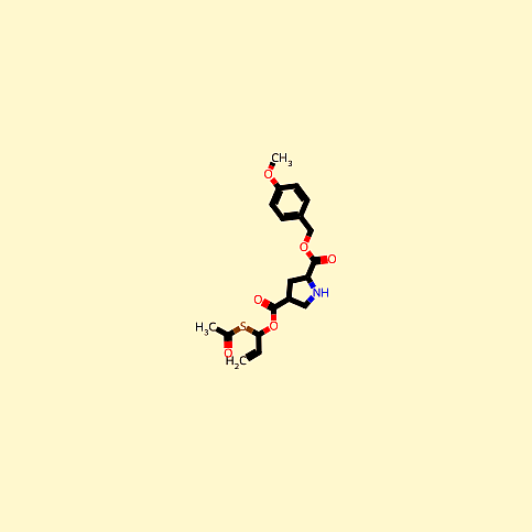 C=CC(OC(=O)C1CNC(C(=O)OCc2ccc(OC)cc2)C1)SC(C)=O